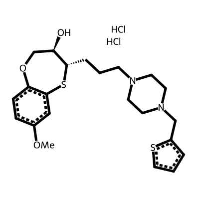 COc1ccc2c(c1)S[C@@H](CCCN1CCN(Cc3cccs3)CC1)[C@H](O)CO2.Cl.Cl